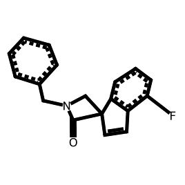 O=C1N(Cc2ccccc2)CC12C=Cc1c(F)cccc12